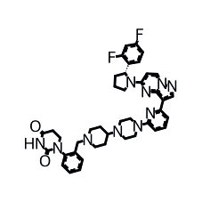 O=C1CCN(c2ccccc2CN2CCC(N3CCN(c4cccc(-c5cnn6ccc(N7CCC[C@@H]7c7ccc(F)cc7F)nc56)n4)CC3)CC2)C(=O)N1